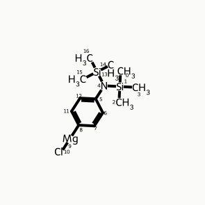 C[Si](C)(C)N(c1cc[c]([Mg][Cl])cc1)[Si](C)(C)C